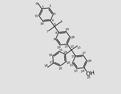 Cc1ccc(C(C)(C)c2ccc(C(C)(c3ccc(C)cc3)c3ccc(O)cc3)cc2)cc1